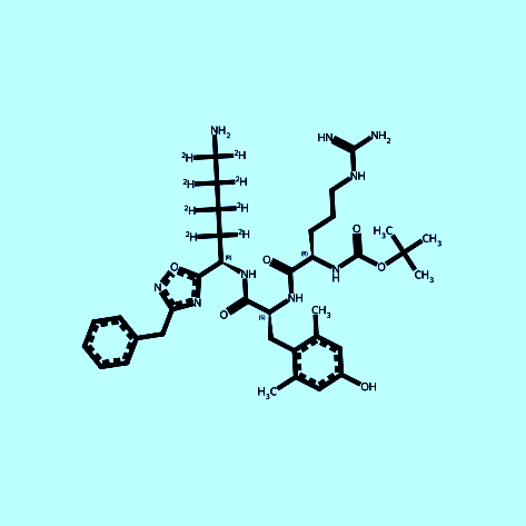 [2H]C([2H])(N)C([2H])([2H])C([2H])([2H])C([2H])([2H])[C@@H](NC(=O)[C@H](Cc1c(C)cc(O)cc1C)NC(=O)[C@@H](CCCNC(=N)N)NC(=O)OC(C)(C)C)c1nc(Cc2ccccc2)no1